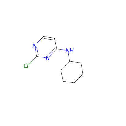 Clc1nccc(NC2CCCCC2)n1